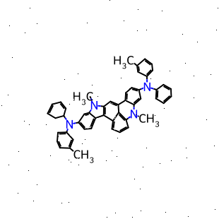 Cc1cccc(N(c2ccccc2)c2ccc3c(c2)N(C)c2cccc4c2c-3cc2c4c3ccc(N(c4cccc(C)c4)C4C=CC=CC4)cc3n2C)c1